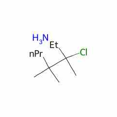 CCCC(C)(C)C(C)(Cl)CC.N